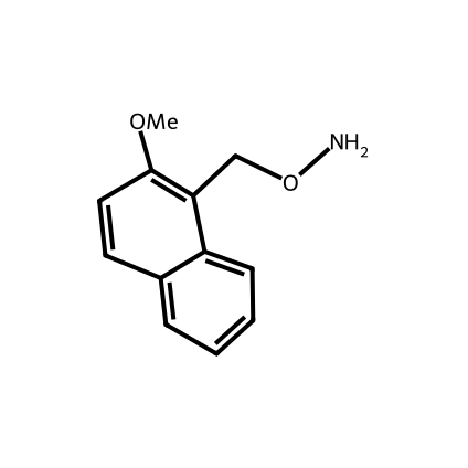 COc1ccc2ccccc2c1CON